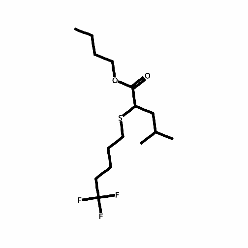 CCCCOC(=O)C(CC(C)C)SCCCCC(F)(F)F